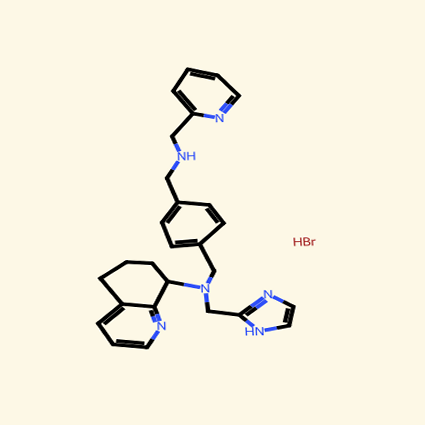 Br.c1ccc(CNCc2ccc(CN(Cc3ncc[nH]3)C3CCCc4cccnc43)cc2)nc1